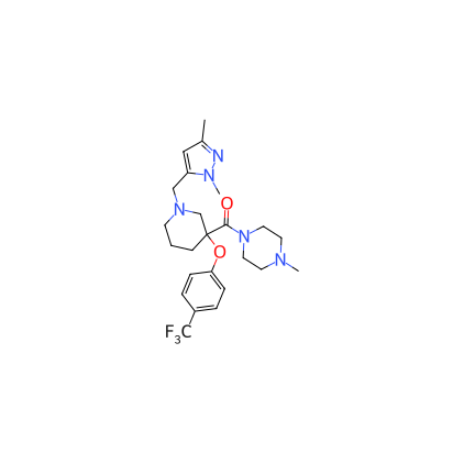 Cc1cc(CN2CCCC(Oc3ccc(C(F)(F)F)cc3)(C(=O)N3CCN(C)CC3)C2)n(C)n1